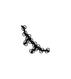 C=CC(=O)OCCCCOC(=O)C1CCC(C(=O)Oc2ccc(OC(=O)C3CCC(C(=O)Oc4ccc(OC(=O)C5CCC(C(=O)OCCCCOC(=O)C#CC)CC5)c(C(=O)OCCOC(=O)C(=C)C)c4)CC3)cc2C(=O)OCCOC(=O)C(=C)C)CC1